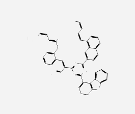 C=C/C(=C\c1ccccc1C/C(C)=C/C=C\C)c1nc(C2=CCCc3oc4ccccc4c32)nc(-c2ccc3cccc(/C=C\C=C/C)c3c2)n1